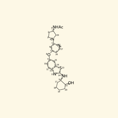 CC(=O)N[C@@H]1CCN(c2cc(Oc3ccc4nc(N[C@@H]5CCCCC5O)sc4c3)ccn2)C1